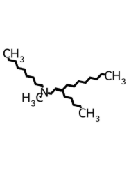 CCCCCCCCCN(C)C/C=C(\CCCCC)CCCCCCCC